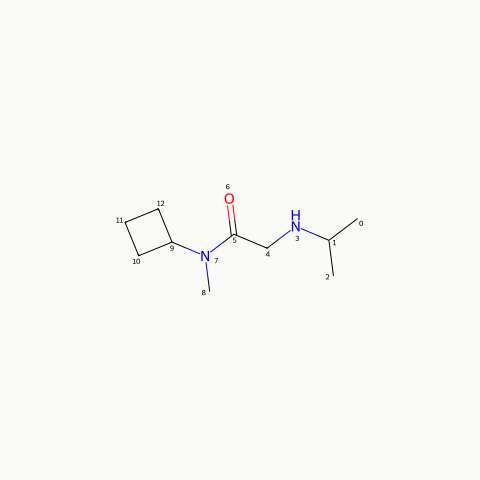 CC(C)NCC(=O)N(C)C1CCC1